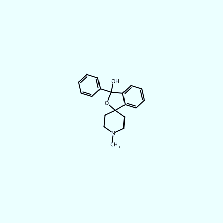 CN1CCC2(CC1)OC(O)(c1ccccc1)c1ccccc12